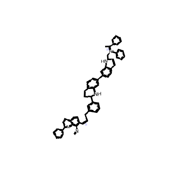 C=Nc1c(/C=C\Cc2cccc(C3C=Cc4ccc(-c5ccc6c(c5)NC(C/[N+](=C(\C)c5ccccc5)c5ccccc5)C=C6)cc4N3)c2)ccc2ccc(-c3ccccc3)nc12